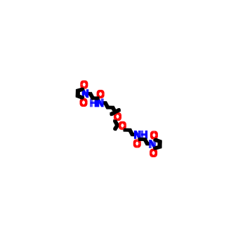 CC(COC(C)(C)CCCNC(=O)CCN1C(=O)C=CC1=O)OCCCNC(=O)CCN1C(=O)C=CC1=O